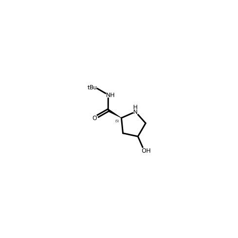 CC(C)(C)NC(=O)[C@@H]1CC(O)CN1